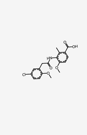 COc1ccc(Cl)cc1CC(=O)Nc1c(OC)ccc(C(=O)O)c1C